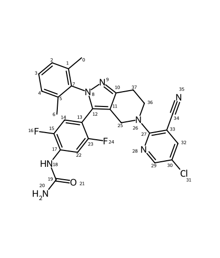 Cc1cccc(C)c1-n1nc2c(c1-c1cc(F)c(NC(N)=O)cc1F)CN(c1ncc(Cl)cc1C#N)CC2